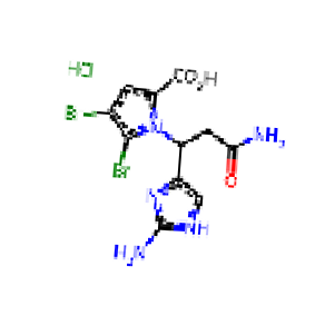 Cl.NC(=O)CC(c1c[nH]c(N)n1)n1c(C(=O)O)cc(Br)c1Br